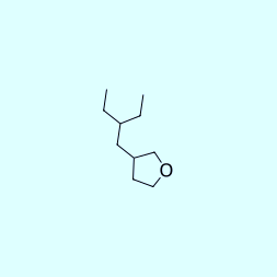 CCC(CC)CC1CCOC1